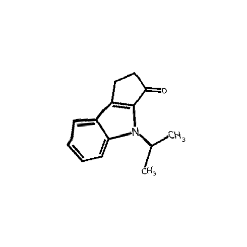 CC(C)n1c2c(c3ccccc31)CCC2=O